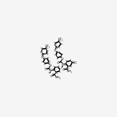 CN(C(=O)Oc1ccc(Oc2ccc(C(F)(F)F)cn2)cc1)c1ccc(Cl)cc1C(N)=O.CN(C(=O)Oc1ccc(Oc2ccc(C(F)(F)F)cn2)cc1)c1ccccc1C(N)=O